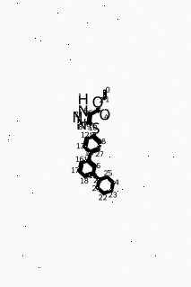 CCOC(=O)c1[nH]nnc1Sc1ccc(-c2cccc(C3CCCCC3)c2)cc1